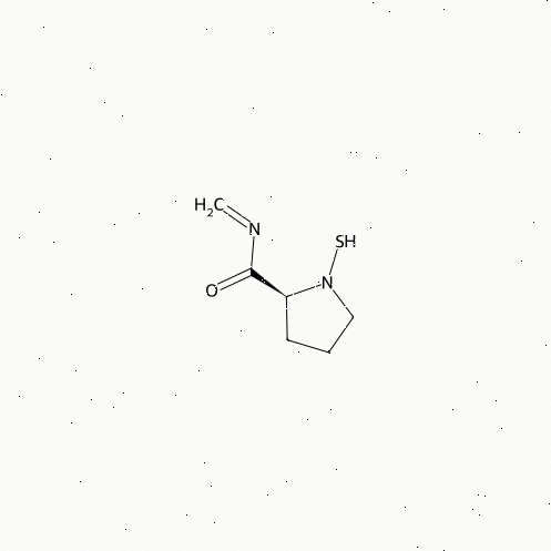 C=NC(=O)[C@@H]1CCCN1S